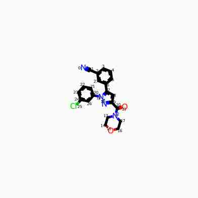 N#Cc1cccc(-c2cc(C(=O)N3CCOCC3)nn2-c2cccc(Cl)c2)c1